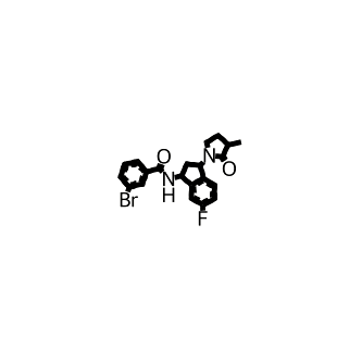 CC1CCN(C2CC(NC(=O)c3cccc(Br)c3)c3cc(F)ccc32)C1=O